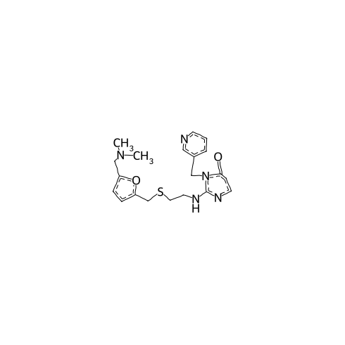 CN(C)Cc1ccc(CSCCNc2nccc(=O)n2Cc2cccnc2)o1